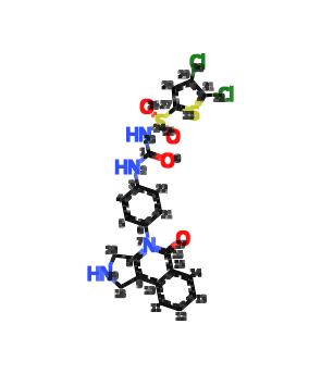 O=C(Nc1ccc(-n2c3c(c4ccccc4c2=O)CNC3)cc1)NS(=O)(=O)c1cc(Cl)c(Cl)s1